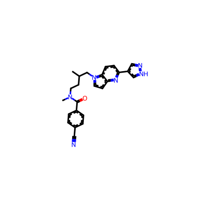 CC(CCN(C)C(=O)c1ccc(C#N)cc1)Cn1ccc2nc(-c3cn[nH]c3)ccc21